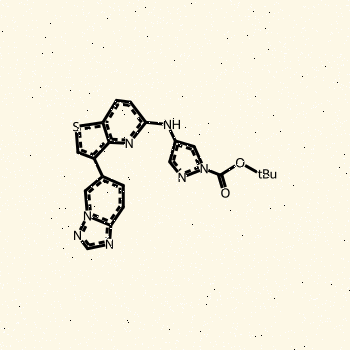 CC(C)(C)OC(=O)n1cc(Nc2ccc3scc(-c4ccc5ncnn5c4)c3n2)cn1